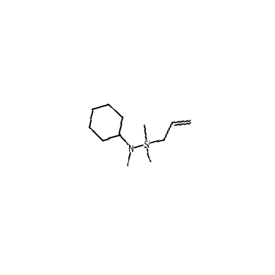 C=CC[Si](C)(C)N(C)C1CCCCC1